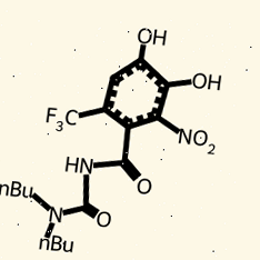 CCCCN(CCCC)C(=O)NC(=O)c1c(C(F)(F)F)cc(O)c(O)c1[N+](=O)[O-]